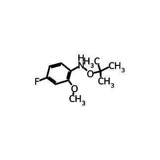 COc1cc(F)ccc1NOC(C)(C)C